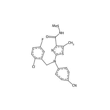 CSNC(=O)c1nc(N(Cc2cc(F)ccc2Cl)c2ccc(C#N)cc2)sc1C